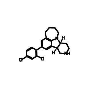 Clc1ccc(-c2cc3c4c(c2)[C@@H]2CNCC[C@@H]2N4CCCC3)c(Cl)c1